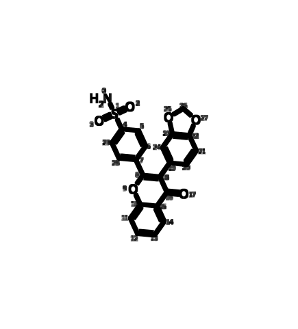 NS(=O)(=O)c1ccc(-c2oc3ccccc3c(=O)c2-c2ccc3c(c2)OCO3)cc1